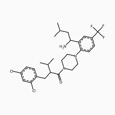 CC(C)CC(N)c1cc(C(F)(F)F)ccc1N1CCN(C(=O)C(Cc2ccc(Cl)cc2Cl)C(C)C)CC1